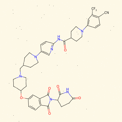 N#Cc1ccc(N2CCC(C(=O)Nc3ccc(N4CCC(CN5CCC(Oc6ccc7c(c6)C(=O)N(C6CCC(=O)NC6=O)C7=O)CC5)CC4)cn3)CC2)cc1C(F)(F)F